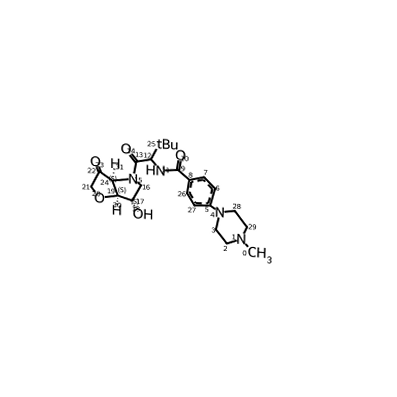 CN1CCN(c2ccc(C(=O)NC(C(=O)N3C[C@H](O)[C@H]4OCC(=O)[C@H]43)C(C)(C)C)cc2)CC1